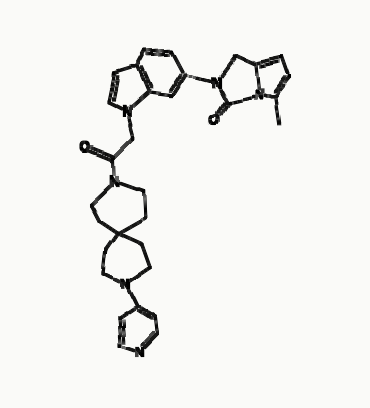 Cc1ccc2n1C(=O)N(c1ccc3ccn(CC(=O)N4CCC5(CC4)CCN(c4ccncc4)CC5)c3c1)C2